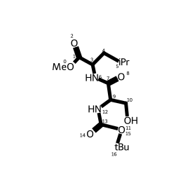 COC(=O)C(CC(C)C)NC(=O)C(CO)NC(=O)OC(C)(C)C